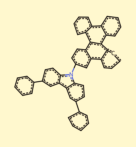 c1ccc(-c2ccc3c(c2)c2cc(-c4ccccc4)ccc2n3-c2ccc3c(c2)c2ccccc2c2c4ccccc4c4ccccc4c32)cc1